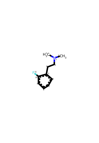 CN(C)CCc1cc[c]cc1F